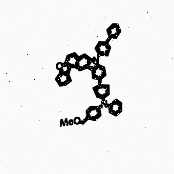 COCc1ccc(N(c2ccccc2)c2ccc(-c3ccc4c(c3)c3cc5c(ccc6oc7ccccc7c65)cc3n4-c3ccc(-c4ccccc4)cc3)cc2)cc1